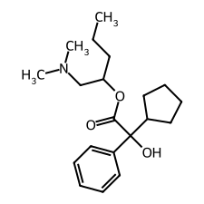 CCCC(CN(C)C)OC(=O)C(O)(c1ccccc1)C1CCCC1